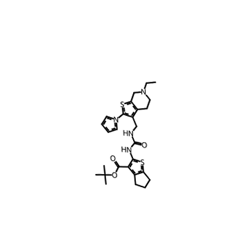 CCN1CCc2c(sc(-n3cccc3)c2CNC(=O)Nc2sc3c(c2C(=O)OC(C)(C)C)CCC3)C1